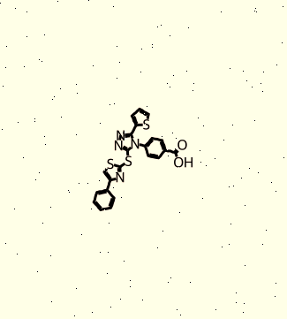 O=C(O)c1ccc(-n2c(Sc3nc(-c4ccccc4)cs3)nnc2-c2cccs2)cc1